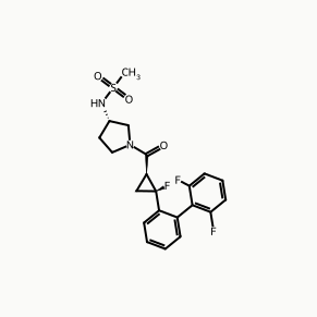 CS(=O)(=O)N[C@H]1CCN(C(=O)[C@@H]2C[C@@]2(F)c2ccccc2-c2c(F)cccc2F)C1